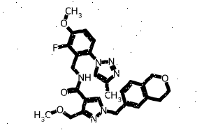 COCc1nn(Cc2ccc3c(c2)CCOC3)cc1C(=O)NCc1c(-n2cc(C)nn2)ccc(OC)c1F